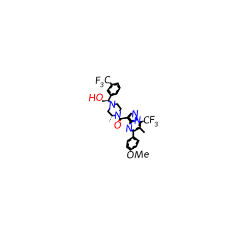 COc1ccc(-c2nc3c(C(=O)N4CCN([C@@H](CO)c5cccc(C(F)(F)F)c5)C[C@H]4C)cnn3c(C(F)(F)F)c2C)cc1